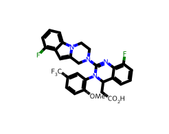 COc1ccc(C(F)(F)F)cc1N1C(N2CCn3c(cc4c(F)cccc43)C2)=Nc2c(F)cccc2C1CC(=O)O